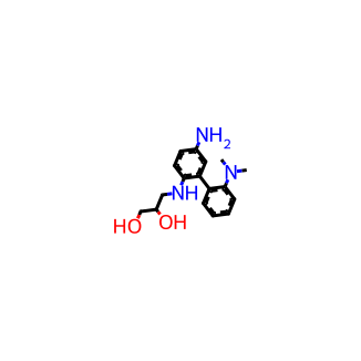 CN(C)c1ccccc1-c1cc(N)ccc1NCC(O)CO